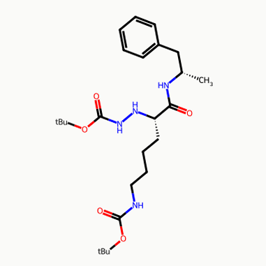 C[C@@H](Cc1ccccc1)NC(=O)[C@H](CCCCNC(=O)OC(C)(C)C)NNC(=O)OC(C)(C)C